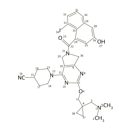 CN(C)CC1(COc2nc3c(c(N4CCC(C#N)CC4)n2)CN(C(=O)c2cc(O)cc4cccc(I)c24)C3)CC1